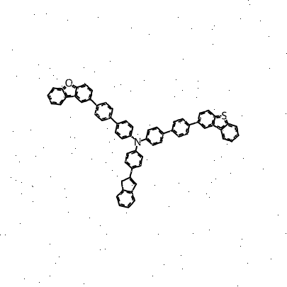 C1=C(c2ccc(N(c3ccc(-c4ccc(-c5ccc6oc7ccccc7c6c5)cc4)cc3)c3ccc(-c4ccc(-c5ccc6sc7ccccc7c6c5)cc4)cc3)cc2)Cc2ccccc21